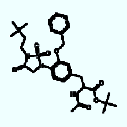 CC(=O)NC(Cc1ccc(N2CC(=O)N(CC[Si](C)(C)C)S2(=O)=O)c(OCc2ccccc2)c1)C(=O)OC(C)(C)C